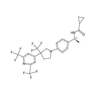 C[C@H](NC(=O)C1CC1)c1ccc(N2CCC(c3cc(C(F)(F)F)nc(C(F)(F)F)c3)(C(F)(F)F)C2)cc1